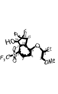 CCC(COC)Oc1ccc(S(=O)(=O)C(F)(F)F)c2c1CC(F)(F)C2O